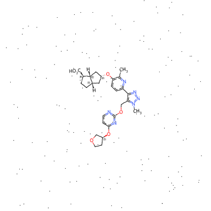 Cc1nc(-c2nnn(C)c2COc2nccc(O[C@H]3CCOC3)n2)ccc1O[C@@H]1C[C@@H]2CC[C@@H](C(=O)O)[C@@H]2C1